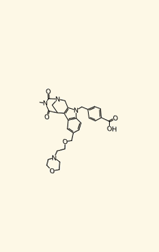 CN1C(=O)C2CN(Cc3c2c2cc(COCCN4CCOCC4)ccc2n3Cc2ccc(C(=O)O)cc2)C1=O